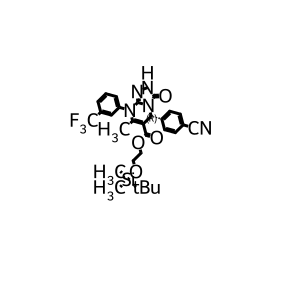 CC1=C(C(=O)OCCO[Si](C)(C)C(C)(C)C)[C@@H](c2ccc(C#N)cc2)n2c(n[nH]c2=O)N1c1cccc(C(F)(F)F)c1